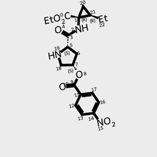 CCOC(=O)[C@@]1(NC(=O)[C@@H]2C[C@H](OC(=O)c3ccc([N+](=O)[O-])cc3)CN2)C[C@H]1CC